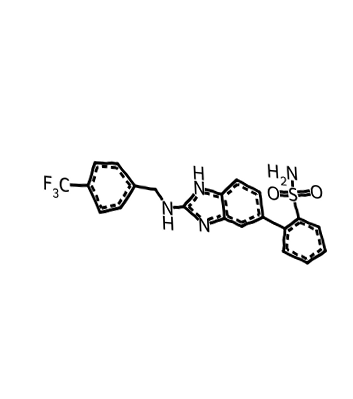 NS(=O)(=O)c1ccccc1-c1ccc2[nH]c(NCc3ccc(C(F)(F)F)cc3)nc2c1